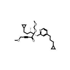 COCC#CC(=O)[C@](Cc1cc(CCCC2CC2)ccn1)(OCOC)[C@@H](C)CCC1CC1